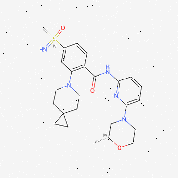 C[C@@H]1CN(c2cccc(NC(=O)c3ccc([S@@](C)(=N)=O)cc3N3CCC4(CC3)CC4)n2)CCO1